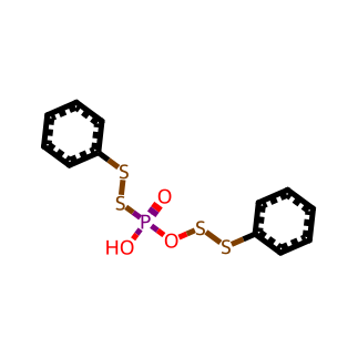 O=P(O)(OSSc1ccccc1)SSc1ccccc1